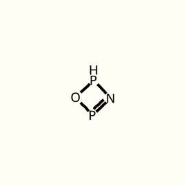 n1po[pH]1